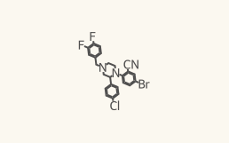 N#Cc1cc(Br)ccc1N1CCN(Cc2ccc(F)c(F)c2)CC1c1ccc(Cl)cc1